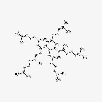 CC(C)=CCC/C(C)=C/CC(/C=C(\C)CCC=C(C)C)C(/C=C(\C)CCC=C(C)C)C(/C=C(\C)CCC=C(C)C)C/C=C(\C)CCC=C(C)C